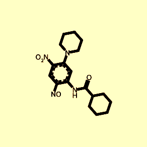 O=Nc1cc([N+](=O)[O-])c(N2CCCCC2)cc1NC(=O)C1CCCCC1